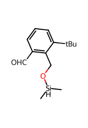 C[SiH](C)OCc1c(C=O)cccc1C(C)(C)C